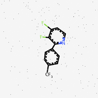 Fc1ccnc(-c2c[c]c(C(F)(F)F)cc2)c1F